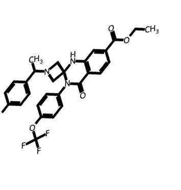 CCOC(=O)c1ccc2c(c1)NC1(CN(C(C)c3ccc(F)cc3)C1)N(c1ccc(OC(F)(F)F)cc1)C2=O